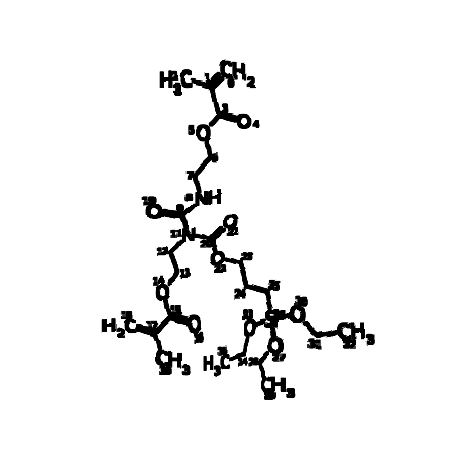 C=C(C)C(=O)OCCNC(=O)N(CCOC(=O)C(=C)C)C(=O)OCCC[Si](OCC)(OCC)OCC